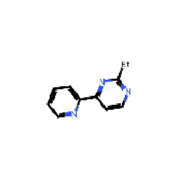 CCc1nccc(-c2ccccn2)n1